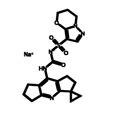 O=C([N-]S(=O)(=O)c1cnn2c1OCCC2)Nc1c2c(nc3c1CCC31CC1)CCC2.[Na+]